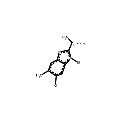 CCn1c([C@@H](C)N)nc2cc(C)c(Cl)cc21